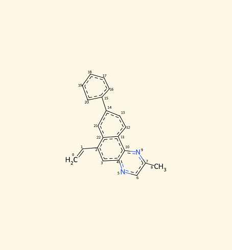 C=Cc1cc2ncc(C)nc2c2ccc(-c3ccccc3)cc12